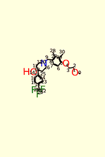 COCCOc1ccc(CN2CCC(O)(c3ccc(C(F)(F)F)cc3)CC2)c(C)c1C